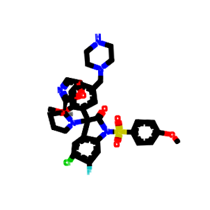 COc1ccc(S(=O)(=O)N2C(=O)C(c3cc(CN4CCNCC4)ccc3OC)(N3CCC[C@H]3c3ncco3)c3cc(Cl)c(F)cc32)cc1